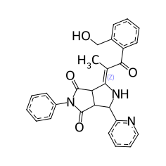 C/C(C(=O)c1ccccc1CO)=C1/NC(c2ccccn2)C2C(=O)N(c3ccccc3)C(=O)C12